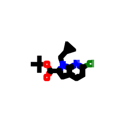 CC(C)(C)OC(=O)c1cc2ccc(Cl)nc2n1CC1CC1